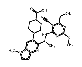 CCc1nc(SC)nc(N[C@@H](C)c2nc3ccn(C)c3cc2N2CCN(C(=O)O)CC2)c1C#N